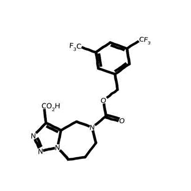 O=C(O)c1nnn2c1CN(C(=O)OCc1cc(C(F)(F)F)cc(C(F)(F)F)c1)CCC2